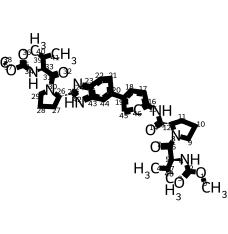 COC(=O)N[C@H](C(=O)N1CCC[C@H]1C(=O)Nc1ccc(-c2ccc3nc([C@@H]4CCCN4C(=O)[C@@H](NC(=O)OC)C(C)C)[nH]c3c2)cc1)C(C)C